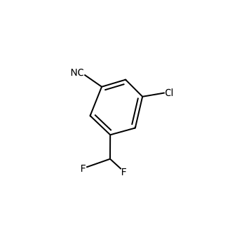 N#Cc1cc(Cl)cc(C(F)F)c1